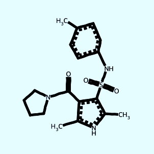 Cc1ccc(NS(=O)(=O)c2c(C)[nH]c(C)c2C(=O)N2CCCC2)cc1